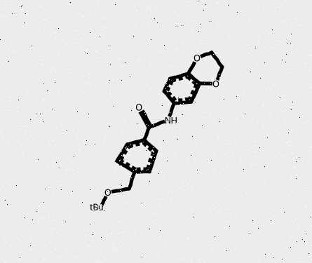 CC(C)(C)OCc1ccc(C(=O)Nc2ccc3c(c2)OCCO3)cc1